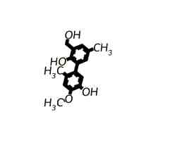 COc1cc(C)c(-c2cc(C)cc(CO)c2O)cc1O